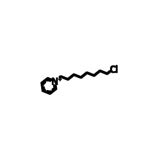 ClCCCCCCCC[n+]1ccccc1